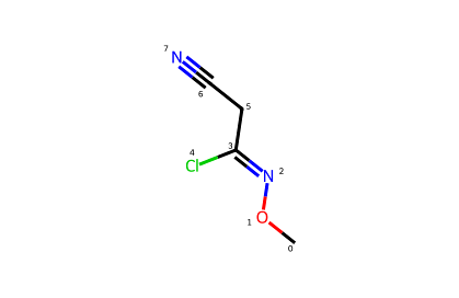 CON=C(Cl)CC#N